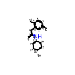 C=C(Cc1cc(C)ccc1C)N[C@H]1CC[C@@H](C)CC1